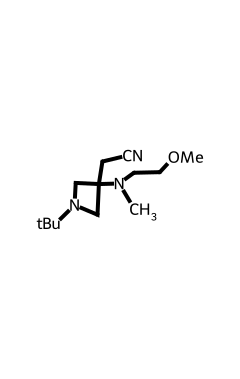 COCCN(C)C1(CC#N)CN(C(C)(C)C)C1